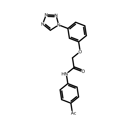 CC(=O)c1ccc(NC(=O)COc2cccc(-n3cnnn3)c2)cc1